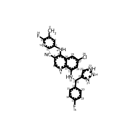 Cc1cc(Nc2c(C#N)cnc3c(N[C@@H](c4ccc(F)cc4)c4c[nH]nn4)cc(Cl)cc23)cnc1F